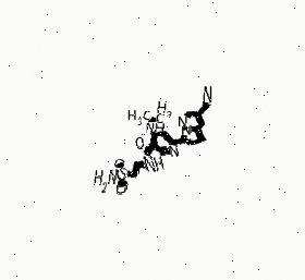 CC(C)Nc1cc(-c2ccc3cc(C#N)cnn23)ncc1C(=O)NCCS(N)(=O)=O